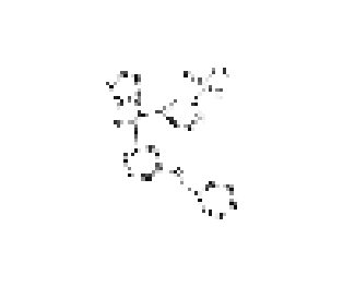 CS(=O)(=O)c1nccc(-c2c(-c3cccc(OCc4ccccc4)c3)nc3sccn23)n1